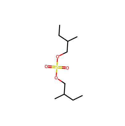 CCC(C)COS(=O)(=O)OCC(C)CC